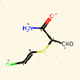 NC(=O)C([C]=O)SC=CCl